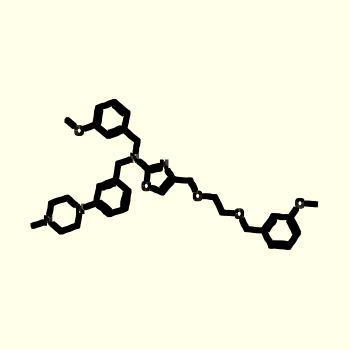 COc1cccc(COCCOCc2coc(N(Cc3cccc(OC)c3)Cc3cccc(N4CCN(C)CC4)c3)n2)c1